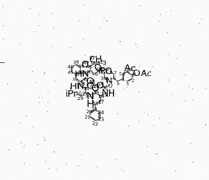 CC(=O)Oc1ccc(CC2COCCN2CC(=O)N[C@@H](CCc2ccccc2)C(=O)N[C@@H](CC(C)C)C(=O)N[C@@H](Cc2ccccc2)C(=O)N[C@@H](CC(C)C)C(=O)[C@@]2(C)CO2)cc1C(C)=O